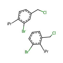 CC(C)c1c(Br)cccc1CCl.CC(C)c1ccc(CCl)cc1Br